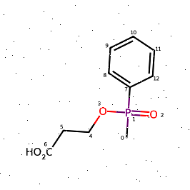 CP(=O)(OCCC(=O)O)c1ccccc1